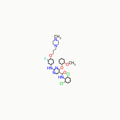 COc1ccccc1Oc1nc(Nc2ccc(OCCCN3CCN(C)CC3)c(F)c2)ncc1C(=O)Nc1c(Cl)cccc1Cl